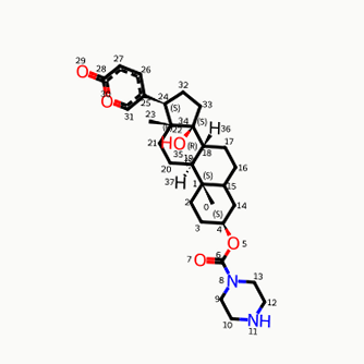 C[C@]12CC[C@H](OC(=O)N3CCNCC3)CC1CC[C@@H]1[C@@H]2CC[C@]2(C)[C@@H](c3ccc(=O)oc3)CC[C@]12O